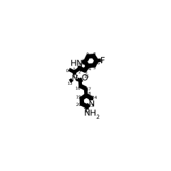 CC(c1cc2cc(F)ccc2[nH]1)N(C)C(=O)/C=C/c1ccc(N)nc1